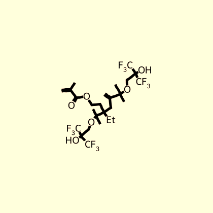 C=C(C)C(=O)OCCC(CC)(CC(=C)C(C)(C)OCC(O)(C(F)(F)F)C(F)(F)F)C(C)(C)OCC(O)(C(F)(F)F)C(F)(F)F